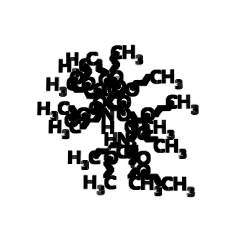 CCCCOCC1O[C@@H](OCC(O[C@H](OCCC)[C@H](COC(=O)C[C@@H](CC)OCCCC)NC(=O)C[C@@H](CC)OCCCC)[C@H](C)OCCCC)C(NC(=O)C[C@@H](CC)OC(=O)CC)C(OC(=O)C[C@@H](CC)OC(=O)CC)[C@@H]1OP(=O)(OCCCC)OCCCC